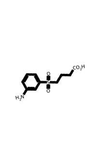 Nc1cccc(S(=O)(=O)CCCC(=O)O)c1